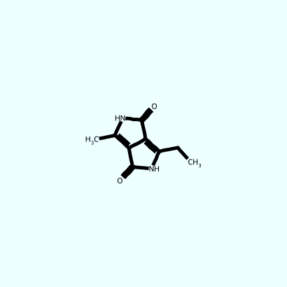 CCC1=C2C(=O)NC(C)=C2C(=O)N1